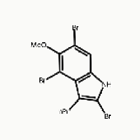 CCCc1c(Br)[nH]c2cc(Br)c(OC)c(Br)c12